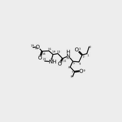 CCC(=O)CC(CC(C)=O)NC(=O)CC(CC(=O)OC)NC